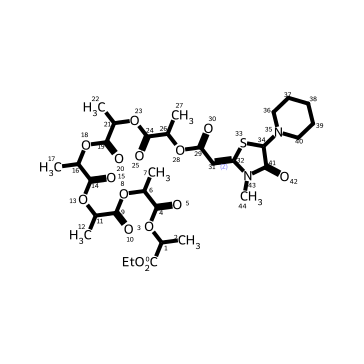 CCOC(=O)C(C)OC(=O)C(C)OC(=O)C(C)OC(=O)C(C)OC(=O)C(C)OC(=O)C(C)OC(=O)/C=C1\SC(N2CCCCC2)C(=O)N1C